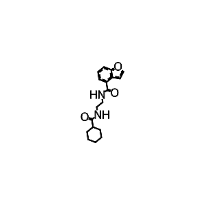 O=C(NCCNC(=O)C1CCCCC1)c1cccc2occc12